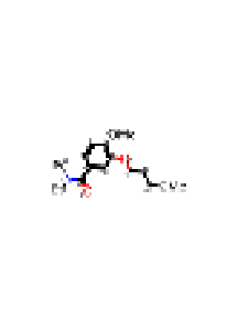 CCN(C(=O)c1ccc(OC)c(OCCCOC)c1)C(C)C